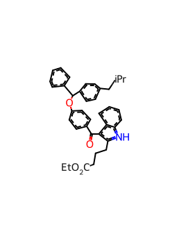 CCOC(=O)CCCc1[nH]c2ccccc2c1C(=O)c1ccc(OC(c2ccccc2)c2ccc(CC(C)C)cc2)cc1